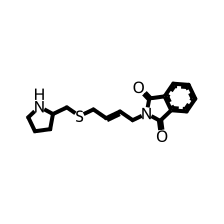 O=C1c2ccccc2C(=O)N1CC=CCSCC1CCCN1